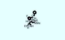 CCN/C=C(\C=N)C(O)/C(=C/C(=N)NC)Nc1ccc(F)cc1[C@@H](C)OCC1C=CC=CC1